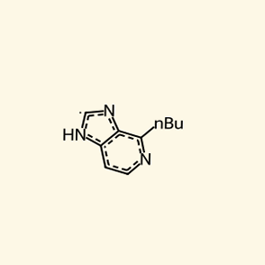 CCCCc1nccc2[nH][c]nc12